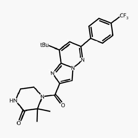 CC(C)(C)c1cc(-c2ccc(C(F)(F)F)cc2)nn2cc(C(=O)N3CCNC(=O)C3(C)C)nc12